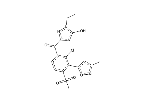 CCn1nc(C(=O)c2ccc(S(C)(=O)=O)c(-c3cc(C)no3)c2Cl)cc1O